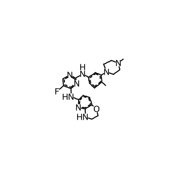 Cc1ccc(Nc2ncc(F)c(Nc3ccc4c(n3)NCCO4)n2)cc1N1CCN(C)CC1